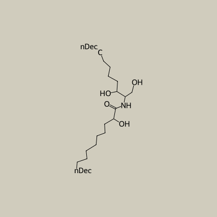 CCCCCCCCCCCCCCCCCC(O)C(=O)NC(CO)C(O)CCCCCCCCCCCCCCC